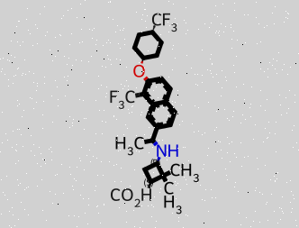 CC(N[C@@H]1C[C@H](C(=O)O)C1(C)C)c1ccc2ccc(O[C@H]3CC[C@@H](C(F)(F)F)CC3)c(C(F)(F)F)c2c1